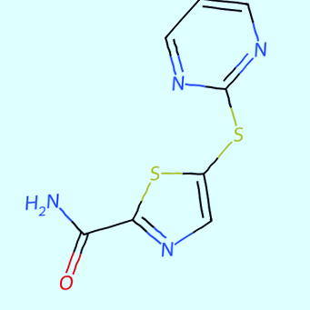 NC(=O)c1ncc(Sc2ncccn2)s1